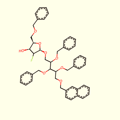 O[C@@H]1C(F)[C@H](OCC(OCc2ccccc2)C(OCc2ccccc2)C(COCc2ccc3ccccc3c2)OCc2ccccc2)O[C@@H]1COCc1ccccc1